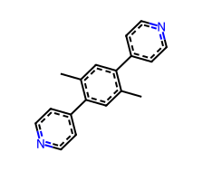 Cc1cc(-c2ccncc2)c(C)cc1-c1ccncc1